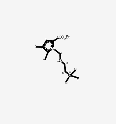 CCOC(=O)c1cc(C)c(C)n1COCC[Si](C)(C)C